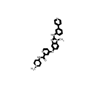 CN1CCC(NC(=O)c2cc(Oc3ccc4c(c3)nc(Nc3cccc(-c5ccncc5)c3)n4C)ccn2)CC1